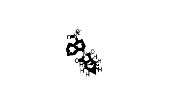 O=C1[C@@H]2[C@@H]3CC[C@@H]([C@@H]4C[C@@H]43)[C@@H]2C(=O)N1c1ccc([N+](=O)[O-])c2ccccc12